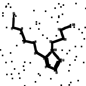 ICCCCCc1cnnn1CCCI